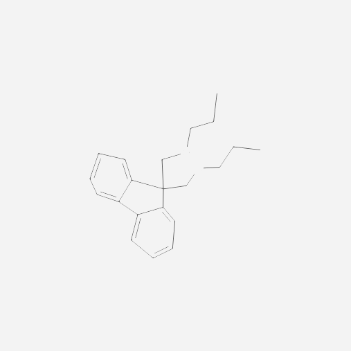 CCCOCC1(COCCC)c2ccccc2-c2ccccc21